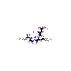 CC(C)[C@H](NC(=O)[C@H](C)NC(=O)[C@H](CCC(=O)O)NC(=O)[C@@H](N)CC(N)=O)C(=O)O